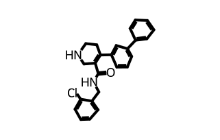 O=C(NCc1ccccc1Cl)C1=C(c2cccc(-c3ccccc3)c2)CCNC1